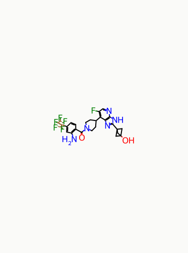 Nc1cc(S(F)(F)(F)(F)F)ccc1C(=O)N1CCC(c2c(F)cnc3[nH]c(C45CC(O)(C4)C5)nc23)CC1